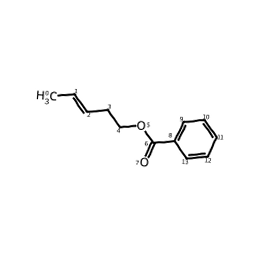 C/C=C/CCOC(=O)c1ccccc1